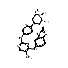 Cc1cnc(Nc2ccc(N3C[C@@H](C)N(C)[C@@H](C)C3)nc2)nc1Nc1ccc2oc(=O)[nH]c2c1